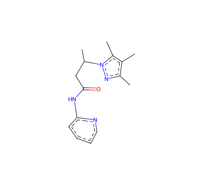 Cc1nn(C(C)CC(=O)Nc2ccccn2)c(C)c1C